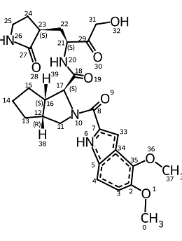 COc1ccc2[nH]c(C(=O)N3C[C@@H]4CCC[C@@H]4[C@H]3C(=O)N[C@@H](C[C@@H]3CCNC3=O)C(=O)CO)cc2c1OC